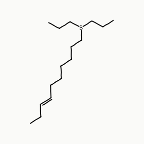 CCC=CCCCCCCB(CCC)CCC